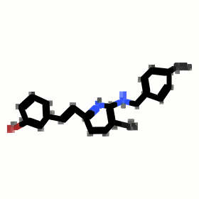 COc1ccc(CNc2nc(/C=C/c3cccc(Br)c3)ccc2C#N)cc1